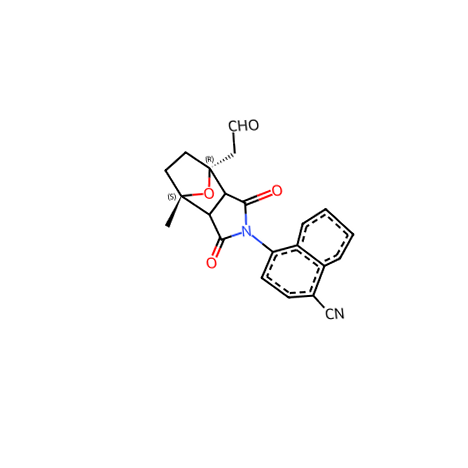 C[C@@]12CC[C@](CC=O)(O1)C1C(=O)N(c3ccc(C#N)c4ccccc34)C(=O)C12